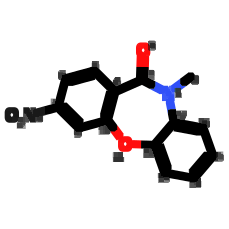 CN1C(=O)c2ccc([N+](=O)[O-])cc2Oc2ccccc21